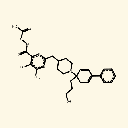 CC(=O)ONC(=O)c1nc(CC2CCN(C3(CCCO)C=CC(c4ccccc4)=CC3)CC2)nc(C)c1O